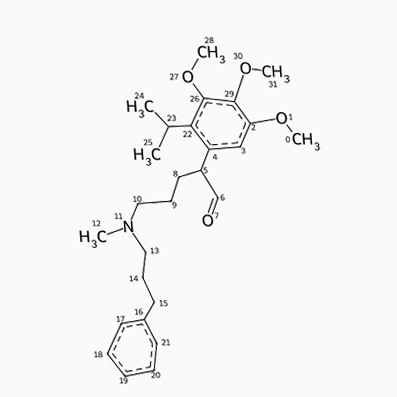 COc1cc(C(C=O)CCCN(C)CCCc2ccccc2)c(C(C)C)c(OC)c1OC